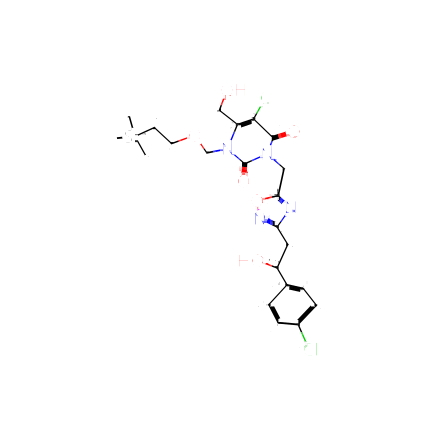 C[Si](C)(C)CCOCn1c(CO)c(Cl)c(=O)n(Cc2nc(CC(O)c3ccc(Cl)cc3)no2)c1=O